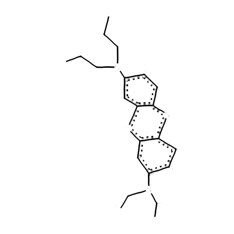 CCCN(CCC)c1ccc2nc3ccc(N(CC)CC)cc3[s+]c2c1.[I-]